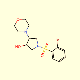 O=S(=O)(c1ccccc1Br)N1CC(O)C(N2CCOCC2)C1